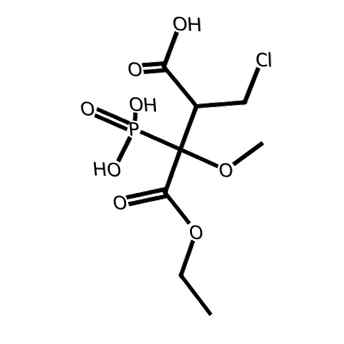 CCOC(=O)C(OC)(C(CCl)C(=O)O)P(=O)(O)O